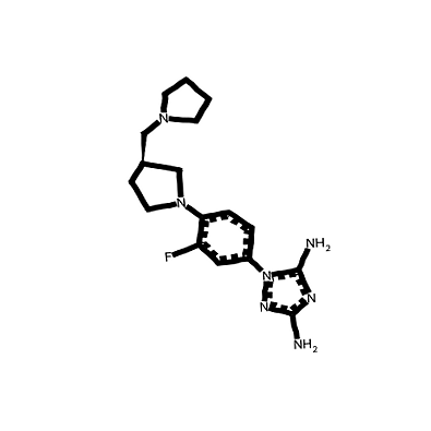 Nc1nc(N)n(-c2ccc(N3CC[C@@H](CN4CCCC4)C3)c(F)c2)n1